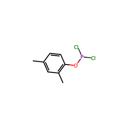 Cc1ccc(OP(Cl)Cl)c(C)c1